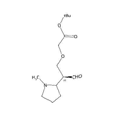 CN1CCCC1[C@H](C=O)COCC(=O)OC(C)(C)C